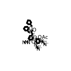 CC(=O)O[C@@H]1[C@@H](O)[C@H](O[C@H]2C[C@H]([C@@H](C)N(Cc3ccccc3)C(=O)OCc3ccccc3)CC[C@H]2N=[N+]=[N-])[C@@H](N=[N+]=[N-])C[C@H]1N=[N+]=[N-]